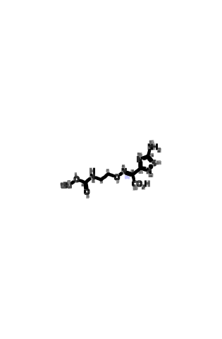 CC(C)(C)OC(=O)NCCO/N=C(\C(=O)O)c1nsc(N)n1